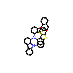 c1ccc(-n2c3ccccc3c3cccc(N(c4cccc5c4sc4ccc6ccccc6c45)c4cccc5sc6ccccc6c45)c32)cc1